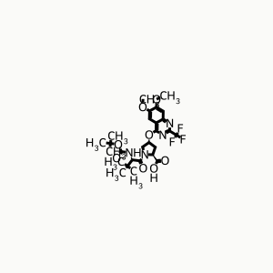 COc1cc2nc(C(F)(F)F)nc(O[C@@H]3C[C@@H](C(=O)O)N(C(=O)[C@@H](NC(=O)OC(C)(C)C)C(C)(C)C)C3)c2cc1OC